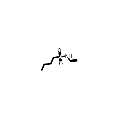 C=CNS(=O)(=O)CCCC